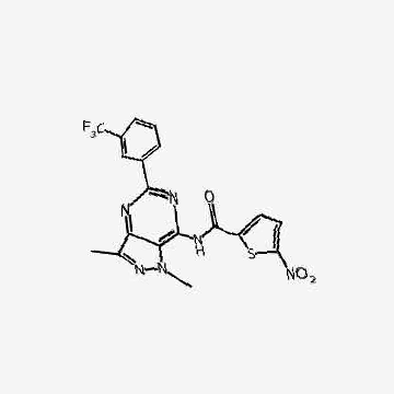 Cc1nn(C)c2c(NC(=O)c3ccc([N+](=O)[O-])s3)nc(-c3cccc(C(F)(F)F)c3)nc12